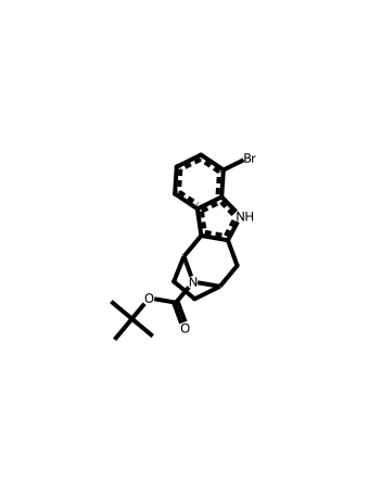 CC(C)(C)OC(=O)N1C2CCC1c1c([nH]c3c(Br)cccc13)C2